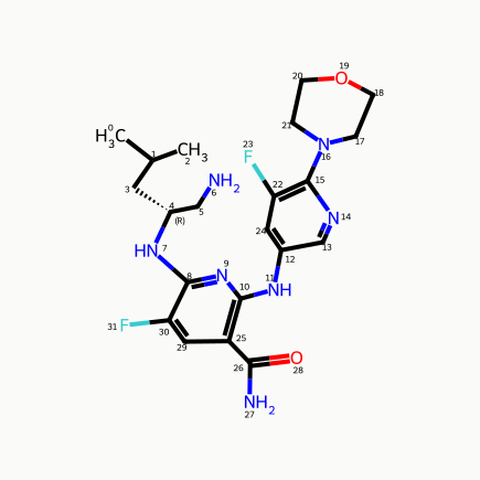 CC(C)C[C@H](CN)Nc1nc(Nc2cnc(N3CCOCC3)c(F)c2)c(C(N)=O)cc1F